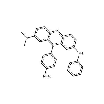 CC(=O)Nc1ccc(-[n+]2c3cc(Nc4ccccc4)ccc3nc3ccc(N(C)C)cc32)cc1